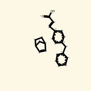 C1=CC2CCC1C2.O=C(O)C=Cc1ccc(Cc2ccccc2)cc1